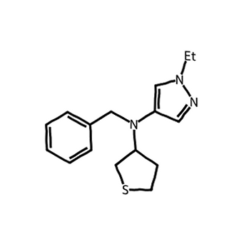 CCn1cc(N(Cc2ccccc2)C2CCSC2)cn1